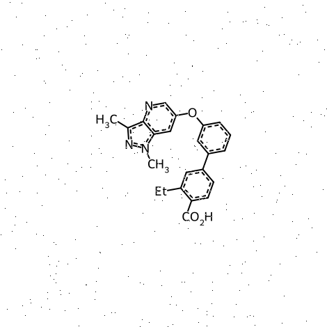 CCc1cc(-c2cccc(Oc3cnc4c(C)nn(C)c4c3)c2)ccc1C(=O)O